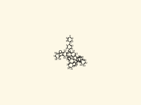 c1ccc(-c2ccc(N(c3ccc4c(c3)C3(c5ccccc5-4)c4ccccc4-c4cccc5ccc(-c6cccc7ccccc67)c3c45)c3ccc4c(c3)oc3ccccc34)cc2)cc1